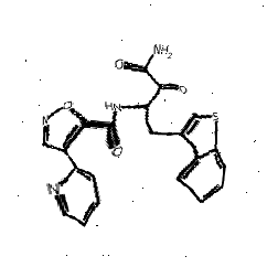 NC(=O)C(=O)C(Cc1csc2ccccc12)NC(=O)c1oncc1-c1ccccn1